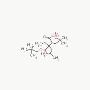 CCC(CC(C)C)(C(=O)OCC(C)(C)C)C(CC(C)(C)C)C(=O)O